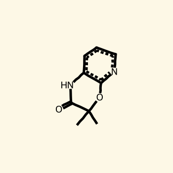 CC1(C)Oc2ncccc2NC1=O